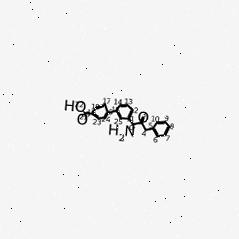 NC(C(=O)Cc1ccccc1)c1cccc(-c2ccc(C(=O)O)cc2)c1